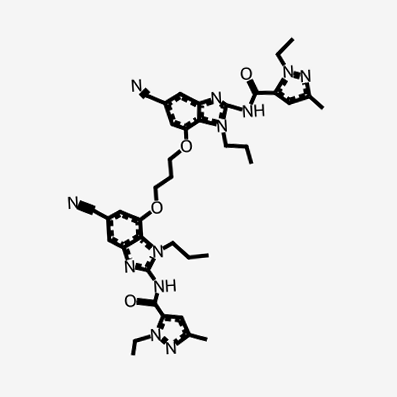 CCCn1c(NC(=O)c2cc(C)nn2CC)nc2cc(C#N)cc(OCCCOc3cc(C#N)cc4nc(NC(=O)c5cc(C)nn5CC)n(CCC)c34)c21